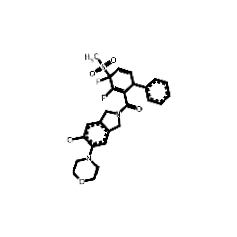 CS(=O)(=O)C1(F)C=CC(c2ccccc2)C(C(=O)N2Cc3cc(Cl)c(N4CCOCC4)cc3C2)=C1F